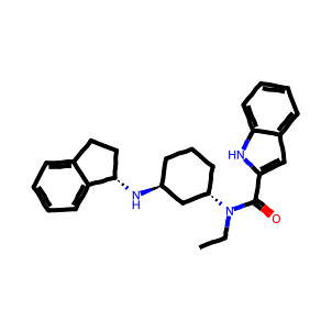 CCN(C(=O)c1cc2ccccc2[nH]1)[C@H]1CCC[C@H](N[C@H]2CCc3ccccc32)C1